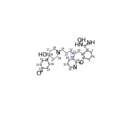 N=C(NO)c1cccc2c1C/C(=C/CCN1CCC(O)(c3ccc(Cl)cc3)CC1)c1cccnc1O2